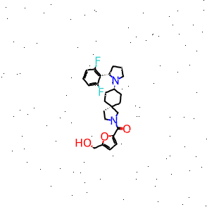 O=C(c1ccc(CO)o1)N1CC[C@]2(CC[C@@H](N3CCC[C@H]3c3c(F)cccc3F)CC2)C1